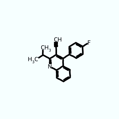 C#Cc1c(C(C)C)nc2ccccc2c1-c1ccc(F)cc1